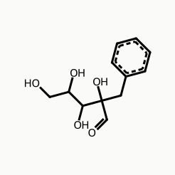 O=CC(O)(Cc1ccccc1)C(O)C(O)CO